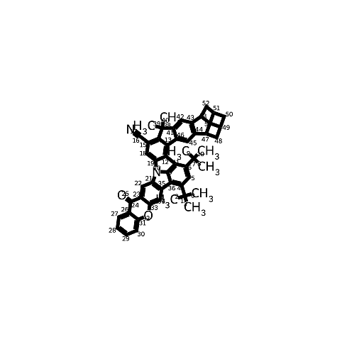 CC(C)(C)c1cc(C(C)(C)C)c2c3c4c(c(C#N)cc3n3c5cc6c(=O)c7ccccc7oc6cc5c1c23)C(C)(C)c1cc2c(cc1-4)C1CC3CC4CC2C341